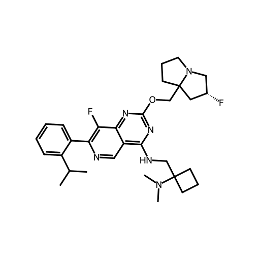 CC(C)c1ccccc1-c1ncc2c(NCC3(N(C)C)CCC3)nc(OCC34CCCN3C[C@H](F)C4)nc2c1F